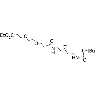 CCOC(=O)CCOCCOCCC(=O)NCCNCCNC(=O)OC(C)(C)C